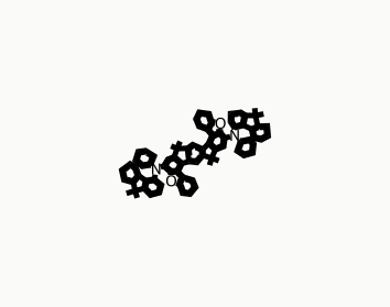 CC1(C)c2ccccc2-c2c(N(c3ccccc3)c3cc4c(c5c3oc3ccccc35)-c3cc5c(cc3C4(C)C)-c3c(cc(N(c4ccccc4)c4cccc6c4-c4ccccc4C6(C)C)c4oc6ccccc6c34)C5(C)C)cccc21